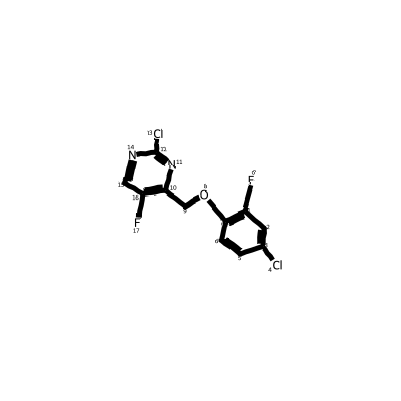 Fc1cc(Cl)ccc1OCc1nc(Cl)ncc1F